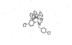 COC(=O)[C@]1(c2ccccc2)N=CN(Cc2ccc(Cl)cc2)[C@H]1c1ccc(Cl)cc1O